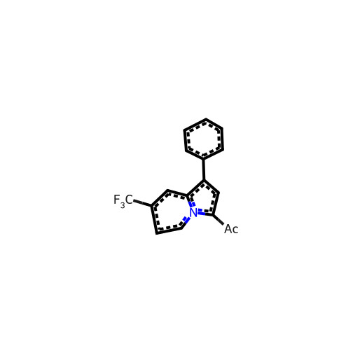 CC(=O)c1cc(-c2ccccc2)c2cc(C(F)(F)F)ccn12